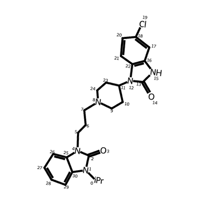 CC(C)n1c(=O)n(CCCN2CCC(n3c(=O)[nH]c4cc(Cl)ccc43)CC2)c2ccccc21